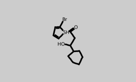 O=C(CC(O)C1CCCCC1)[SH]1C=CC=C1Br